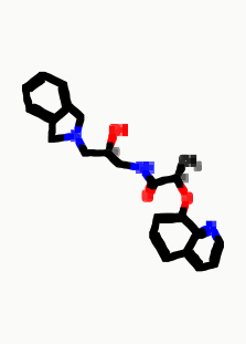 C[C@@H](Oc1cccc2cccnc12)C(=O)NC[C@H](O)CN1Cc2ccccc2C1